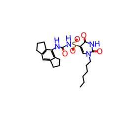 CCCCCCn1cc(S(=O)(=O)NC(=O)Nc2c3c(cc4c2CCC4)CCC3)c(=O)[nH]c1=O